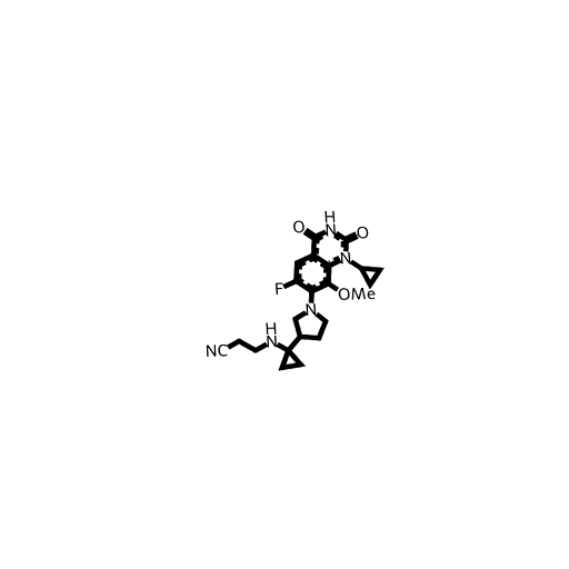 COc1c(N2CCC(C3(NCCC#N)CC3)C2)c(F)cc2c(=O)[nH]c(=O)n(C3CC3)c12